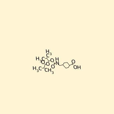 CC(C)C(=O)OC(OC(=O)NCC1CCC(C(=O)O)CC1)C(C)C